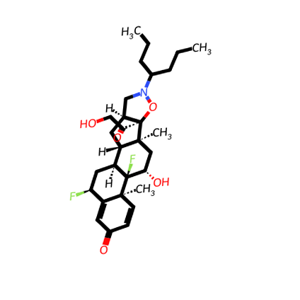 CCCC(CCC)N1C[C@@H]2C[C@H]3[C@@H]4C[C@H](F)C5=CC(=O)C=C[C@]5(C)[C@@]4(F)[C@@H](O)C[C@]3(C)[C@]2(C(=O)CO)O1